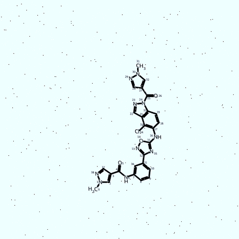 Cn1cc(C(=O)Nc2cccc(-c3noc(Nc4ccc5c(cnn5C(=O)c5cnn(C)c5)c4Cl)n3)c2)cn1